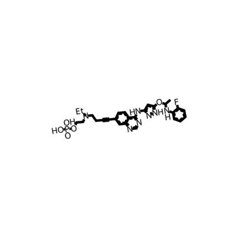 CCN(CCC#Cc1ccc2c(Nc3cc(OC(C)Nc4ccccc4F)[nH]n3)ncnc2c1)CCOP(=O)(O)O